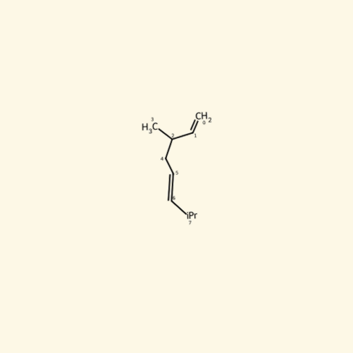 C=CC(C)CC=CC(C)C